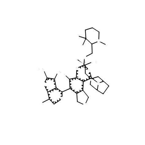 C[C@@H](O)CN1CC2CCC(C1)N2c1nc(OCC2N(C)CCCC2(F)F)nc2c(F)c(-c3ncc(F)c4sc(N)c(C#N)c34)c3c(c12)COC3